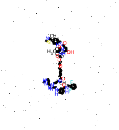 Cc1ncsc1-c1ccc(CNC(=O)C2C[C@@H](O)CN2C(=O)[C@@H](NC(=O)COCCOCCCCCC(=O)N(C)CCCn2c(CNc3cccc(C(=O)NCc4c(F)cccc4F)c3)nnc2-c2ccncn2)C(C)(C)C)cc1